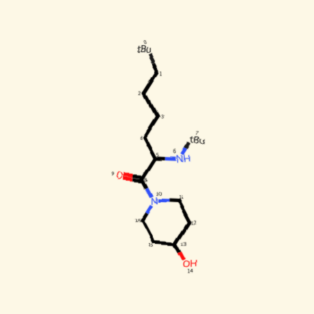 CC(C)(C)CCCCC(NC(C)(C)C)C(=O)N1CCC(O)CC1